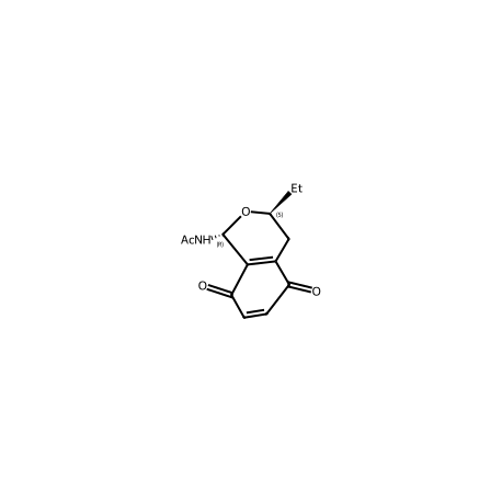 CC[C@H]1CC2=C(C(=O)C=CC2=O)[C@H](NC(C)=O)O1